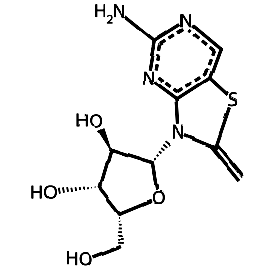 C=C1Sc2cnc(N)nc2N1[C@@H]1O[C@H](CO)[C@H](O)[C@H]1O